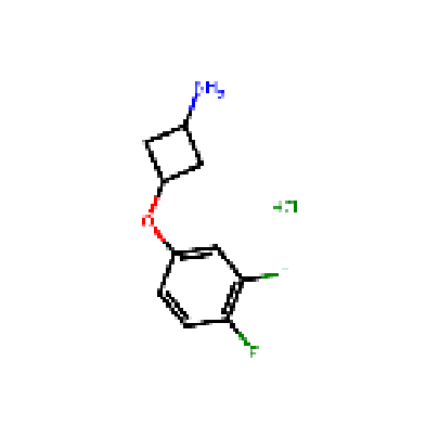 Cl.NC1CC(Oc2ccc(F)c(F)c2)C1